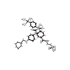 CC(C)(C)c1ccc(S(C)(=O)(C(=O)Nc2ccc(OCC3CCCCC3)cc2)c2ccc(C(=O)NCCS(=O)(=O)O)cc2)cc1